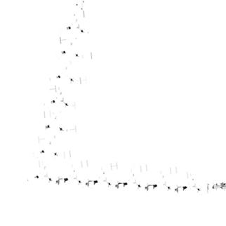 O=[Si](O)O.O=[Si](O)O.O=[Si](O)O.O=[Si](O)O.O=[Si](O)O.O=[Si](O)O.O=[Si](O)O.O=[Si](O)O.O=[Si](O)O.O=[Si](O)O.O=[Si](O)O.O=[Si](O)O.[NaH].[NaH].[NaH].[NaH].[NaH].[NaH]